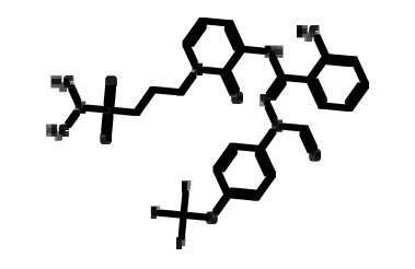 Cc1ccccc1/C(=N\N(C=O)c1ccc(OC(F)(F)F)cc1)Nc1cccn(CCCS(=O)(=O)N(C)C)c1=O